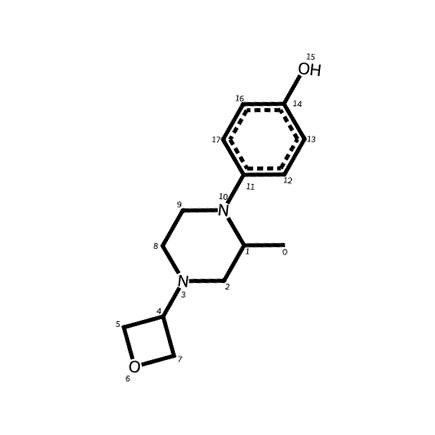 CC1CN(C2COC2)CCN1c1ccc(O)cc1